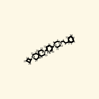 c1ccc(CCN2CCN(c3ccc(N4CCC5(CC4)CCN(C4CCC4)CC5)nc3)CC2)cc1